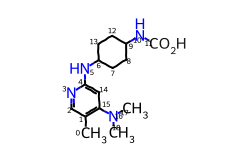 Cc1cnc(NC2CCC(NC(=O)O)CC2)cc1N(C)C